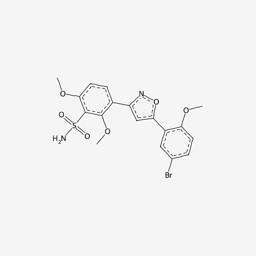 COc1ccc(Br)cc1-c1cc(-c2ccc(OC)c(S(N)(=O)=O)c2OC)no1